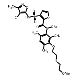 COCCOCCOc1c(C)cc(C)c(N(OC(C)=O)C(=O)c2sccc2S(=O)(=O)Nc2onc(C)c2Cl)c1C